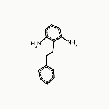 Nc1cccc(N)c1CCc1ccccc1